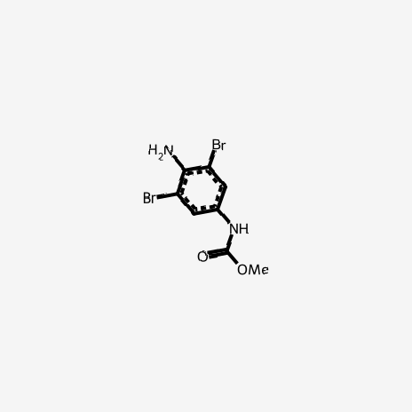 COC(=O)Nc1cc(Br)c(N)c(Br)c1